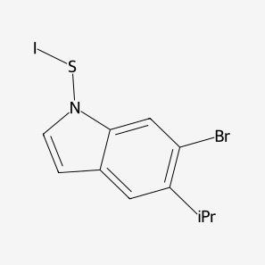 CC(C)c1cc2ccn(SI)c2cc1Br